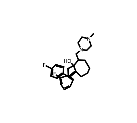 CN1CCN(CC2CCCC/C(=C/c3ccc(F)cc3)C2(O)Cc2ccccc2F)CC1